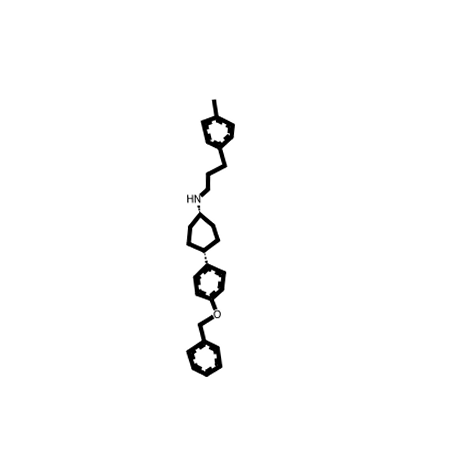 Cc1ccc(CCCN[C@H]2CC[C@@H](c3ccc(OCc4ccccc4)cc3)CC2)cc1